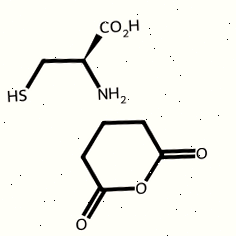 N[C@@H](CS)C(=O)O.O=C1CCCC(=O)O1